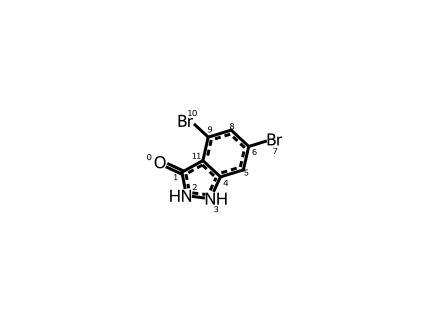 O=c1[nH][nH]c2cc(Br)cc(Br)c12